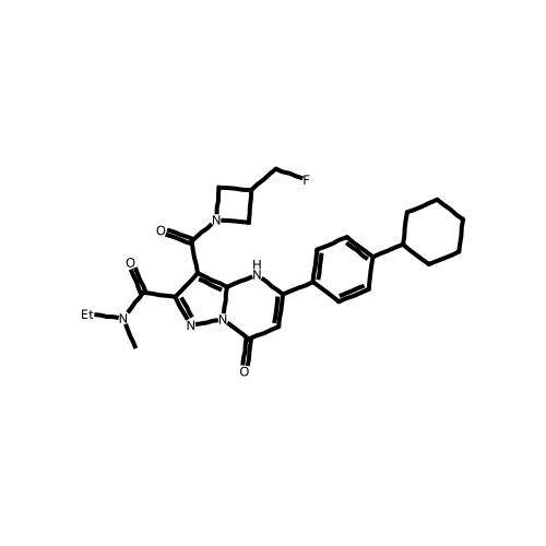 CCN(C)C(=O)c1nn2c(=O)cc(-c3ccc(C4CCCCC4)cc3)[nH]c2c1C(=O)N1CC(CF)C1